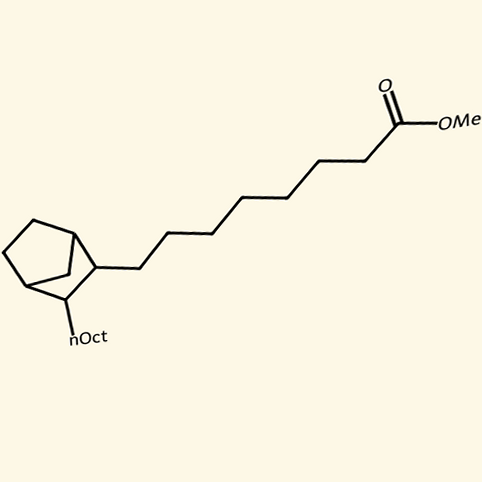 CCCCCCCCC1C2CCC(C2)C1CCCCCCCC(=O)OC